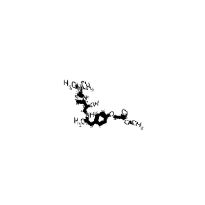 COC(=O)COc1ccc(CC(C)NCC(O)c2csc(N(C)C)n2)cc1